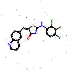 O=C1N=C(Nc2ccc(F)c(F)c2F)SC1=Cc1ccc2ncccc2c1